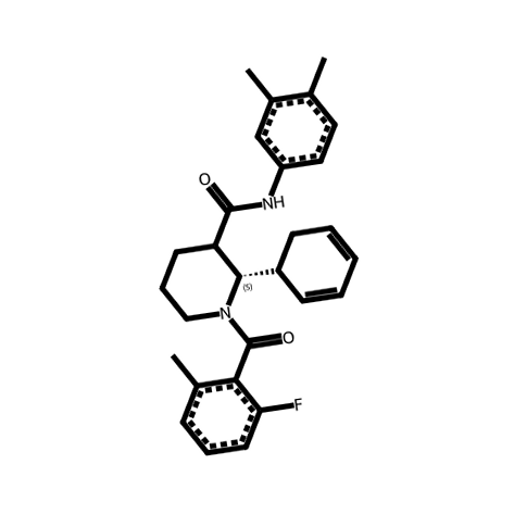 Cc1ccc(NC(=O)C2CCCN(C(=O)c3c(C)cccc3F)[C@H]2C2C=CC=CC2)cc1C